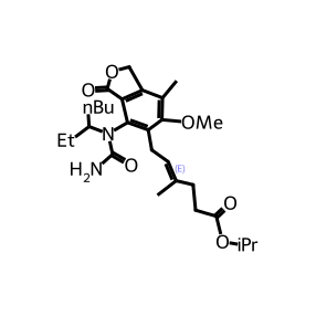 CCCCC(CC)N(C(N)=O)c1c(C/C=C(\C)CCC(=O)OC(C)C)c(OC)c(C)c2c1C(=O)OC2